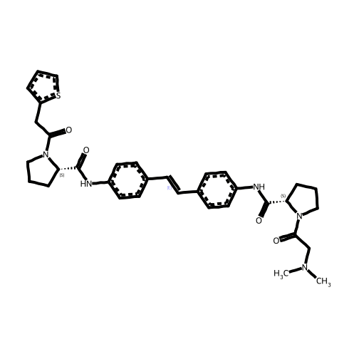 CN(C)CC(=O)N1CCC[C@H]1C(=O)Nc1ccc(/C=C/c2ccc(NC(=O)[C@@H]3CCCN3C(=O)Cc3cccs3)cc2)cc1